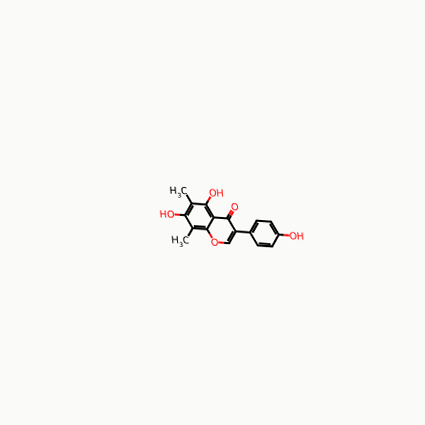 Cc1c(O)c(C)c2occ(-c3ccc(O)cc3)c(=O)c2c1O